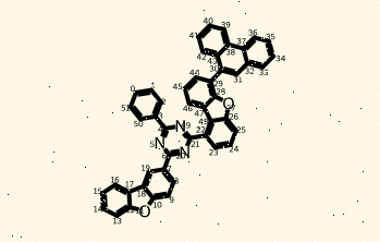 c1ccc(-c2nc(-c3ccc4oc5ccccc5c4c3)nc(-c3cccc4oc5c(-c6cc7ccccc7c7ccccc67)cccc5c34)n2)cc1